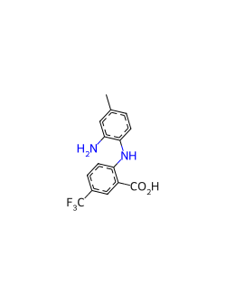 Cc1ccc(Nc2ccc(C(F)(F)F)cc2C(=O)O)c(N)c1